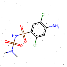 CN(C)S(=O)(=O)NS(=O)(=O)c1cc(Cl)c(N)cc1Cl